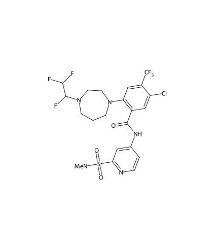 CNS(=O)(=O)c1cc(NC(=O)c2cc(Cl)c(C(F)(F)F)cc2N2CCCN(C(F)C(F)F)CC2)ccn1